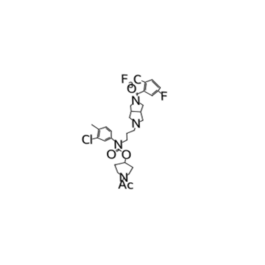 CC(=O)N1CCC(OC(=O)N(CCCN2CC3CN(C(=O)c4cc(F)ccc4C(F)(F)F)CC3C2)c2ccc(C)c(Cl)c2)CC1